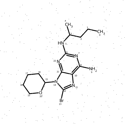 CCCC(C)Nc1nc(N)c2nc(Br)n(C3CCCCO3)c2n1